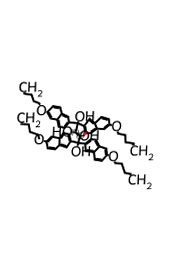 C=CCCCOc1ccc2cc(C(O)(c3ccc4cc(OCCCC=C)ccc4c3)[C@H](O)[C@@H](O)C(O)(c3ccc4cc(OCCCC=C)ccc4c3)c3ccc4cc(OCCCC=C)ccc4c3)ccc2c1